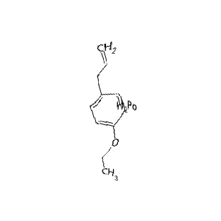 C=CCc1ccc(OCC)cc1.[PoH2]